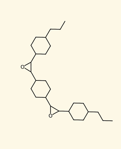 CCCC1CCC(C2OC2C2CCC(C3OC3C3CCC(CCC)CC3)CC2)CC1